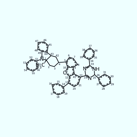 CC12CCC(c3cccc4c3oc3c(-c5ccccc5)ccc(C5=NC(c6ccccc6)NC(c6ccccc6)=N5)c34)CC1c1ccccc1N2c1ccccc1